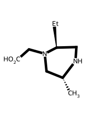 CC[C@H]1CN[C@H](C)CN1CC(=O)O